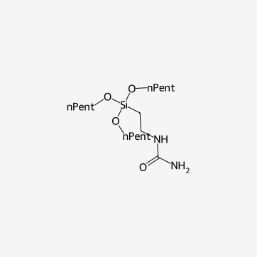 CCCCCO[Si](CCNC(N)=O)(OCCCCC)OCCCCC